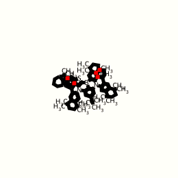 CCC1C2CCCC1C(C)c1cc3sc4c(c3cc12)N(c1cc2c(cc1-c1ccccc1)C(C)(C)CCC2(C)C)c1cc(C(C)(C)C)cc2c1B4c1cc3c(cc1N2c1cc2c(cc1-c1ccccc1)C(C)(C)CCC2(C)C)C(C)(C)CCC3(C)C